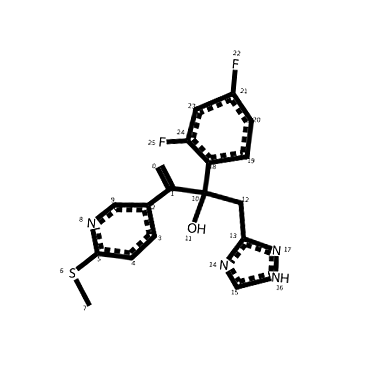 C=C(c1ccc(SC)nc1)C(O)(Cc1nc[nH]n1)c1ccc(F)cc1F